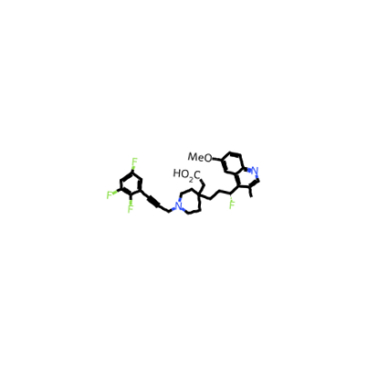 COc1ccc2ncc(C)c([C@H](F)CCC3(CC(=O)O)CCN(CC#Cc4cc(F)cc(F)c4F)CC3)c2c1